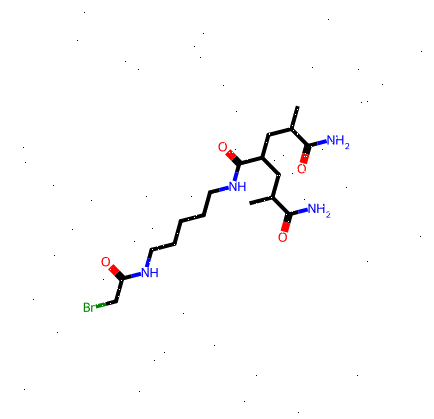 CC(CC(CC(C)C(N)=O)C(=O)NCCCCCNC(=O)CBr)C(N)=O